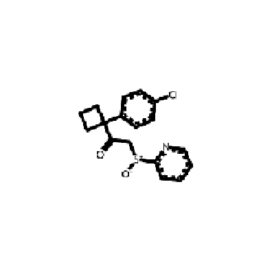 O=C(C[S+]([O-])c1ccccn1)C1(c2ccc(Cl)cc2)CCC1